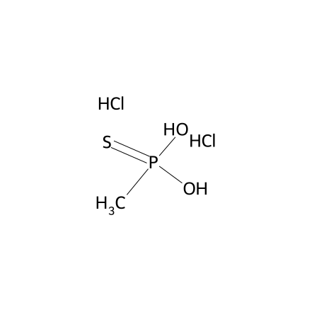 CP(O)(O)=S.Cl.Cl